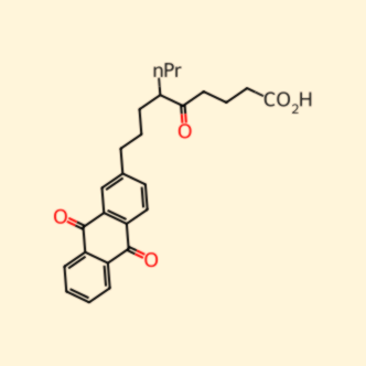 CCCC(CCCc1ccc2c(c1)C(=O)c1ccccc1C2=O)C(=O)CCCC(=O)O